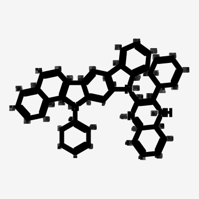 C1=CCCC(n2c3cc4c(cc3c3ccc5ccccc5c32)c2ccccc2n4C2=C(C3C=CC=CC3)NC3C=CC=CC3=N2)=C1